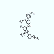 COc1cccc(-c2nc3c(Nc4ccc(-n5cnc(C)n5)c(OC)c4)cc(F)cc3n2C)c1